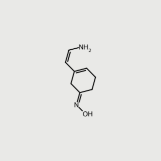 N/C=C\C1=CCC/C(=N\O)C1